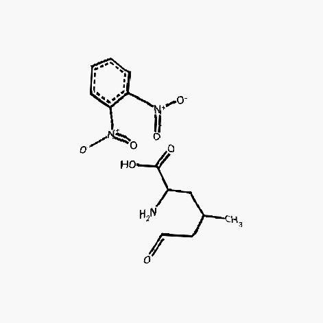 CC(CC=O)CC(N)C(=O)O.O=[N+]([O-])c1ccccc1[N+](=O)[O-]